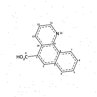 O=C(O)c1cc2ccccc2c2ncccc12